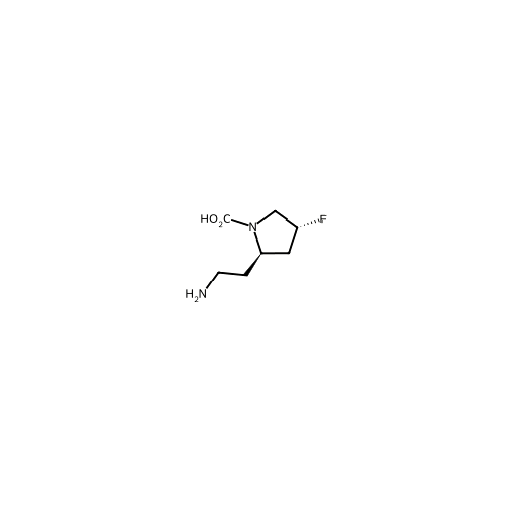 NCC[C@@H]1C[C@@H](F)CN1C(=O)O